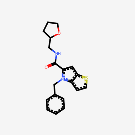 O=C(NCC1CCCO1)c1cc2sccc2n1Cc1ccccc1